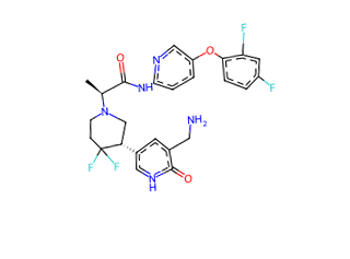 C[C@@H](C(=O)Nc1ccc(Oc2ccc(F)cc2F)cn1)N1CCC(F)(F)[C@@H](c2c[nH]c(=O)c(CN)c2)C1